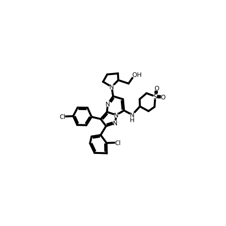 O=S1(=O)CCC(Nc2cc(N3CCCC3CO)nc3c(-c4ccc(Cl)cc4)c(-c4ccccc4Cl)nn23)CC1